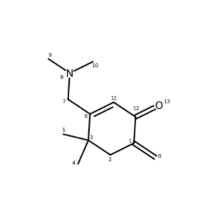 C=C1CC(C)(C)C(CN(C)C)=CC1=O